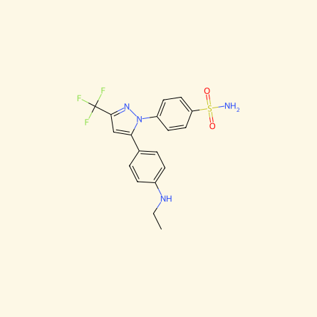 CCNc1ccc(-c2cc(C(F)(F)F)nn2-c2ccc(S(N)(=O)=O)cc2)cc1